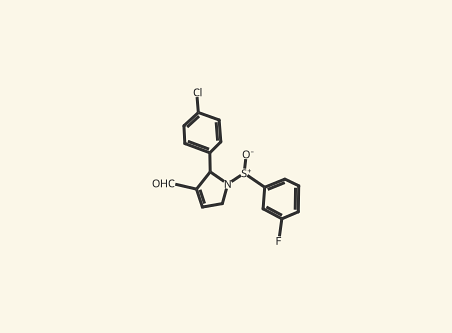 O=CC1=CCN([S+]([O-])c2cccc(F)c2)C1c1ccc(Cl)cc1